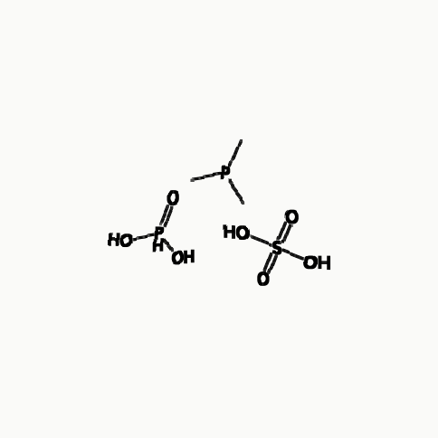 CP(C)C.O=S(=O)(O)O.O=[PH](O)O